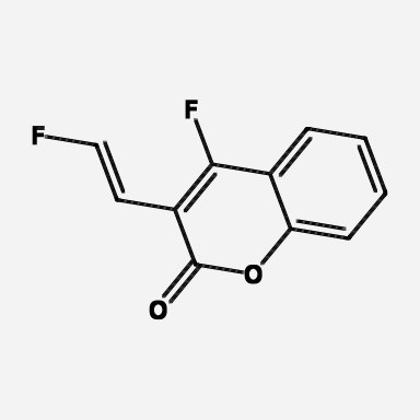 O=c1oc2ccccc2c(F)c1C=CF